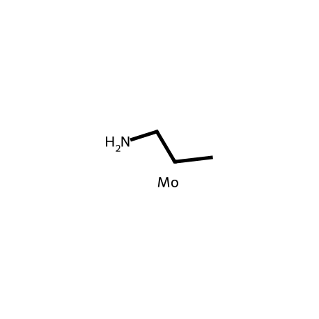 CCCN.[Mo]